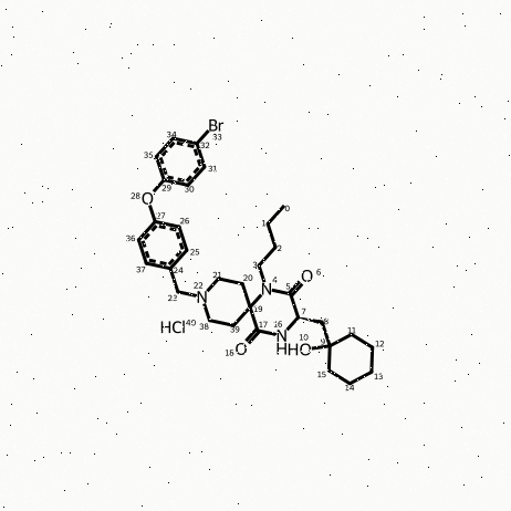 CCCCN1C(=O)[C@@H](CC2(O)CCCCC2)NC(=O)C12CCN(Cc1ccc(Oc3ccc(Br)cc3)cc1)CC2.Cl